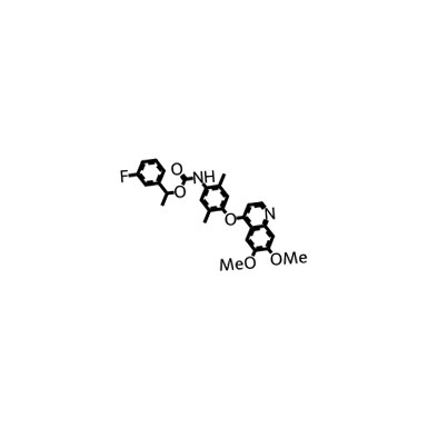 COc1cc2nccc(Oc3cc(C)c(NC(=O)OC(C)c4cccc(F)c4)cc3C)c2cc1OC